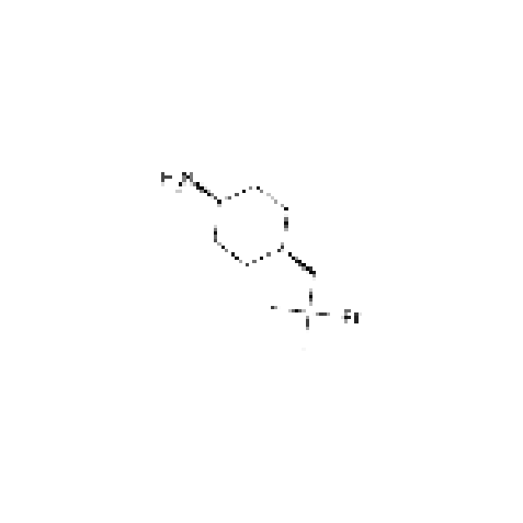 CCC(C)(C)C[C@H]1CC[C@@H](N)CC1